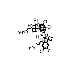 CCCOCCNC(C)(OC(=O)/C=C\C(=O)OC(C)(NCCOCCC)C1(c2ccc(Cl)c(Cl)c2)CCC1)C1(c2ccc(Cl)c(Cl)c2)CCC1